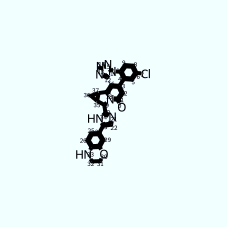 O=c1cc(-c2cc(Cl)ccc2-n2cnnn2)cc2n1C(c1ncc(-c3ccc4c(c3)OCCN4)[nH]1)C1CC21